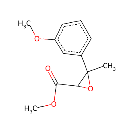 COC(=O)C1OC1(C)c1cccc(OC)c1